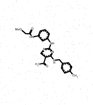 COCC(=O)Nc1cccc(Nc2ncc(C(N)=O)c(NCc3ccc(C)cc3)n2)c1